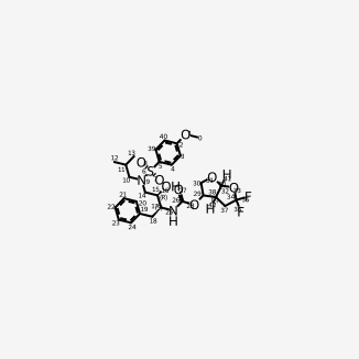 COc1ccc(S(=O)(=O)N(CC(C)C)C[C@@H](O)[C@H](Cc2ccccc2)NC(=O)OC2CO[C@@H]3OC(F)(F)C[C@H]23)cc1